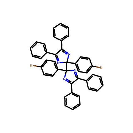 Brc1ccc(C2(C3(c4ccc(Br)cc4)N=C(c4ccccc4)C(c4ccccc4)=N3)N=C(c3ccccc3)C(c3ccccc3)=N2)cc1